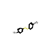 CCCc1ccc(SSc2ccc(CCC)cc2)cc1